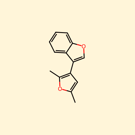 Cc1cc(-c2coc3ccccc23)c(C)o1